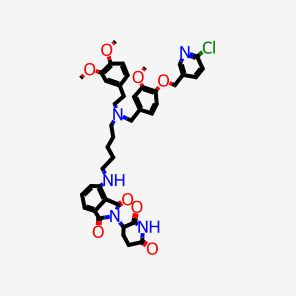 COc1ccc(CCN(CCCCCNc2cccc3c2C(=O)N(C2CCC(=O)NC2=O)C3=O)Cc2ccc(OCc3ccc(Cl)nc3)c(OC)c2)cc1OC